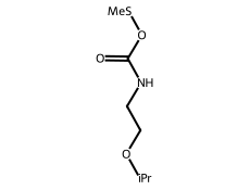 CSOC(=O)NCCOC(C)C